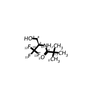 CC(C)(C)C(=O)N[C@H](CO)C(F)(F)F